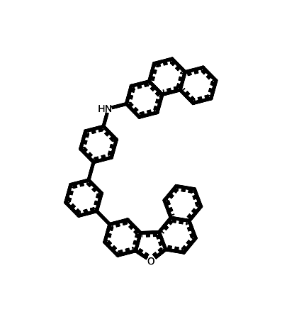 c1cc(-c2ccc(Nc3ccc4c(ccc5ccccc54)c3)cc2)cc(-c2ccc3oc4ccc5ccccc5c4c3c2)c1